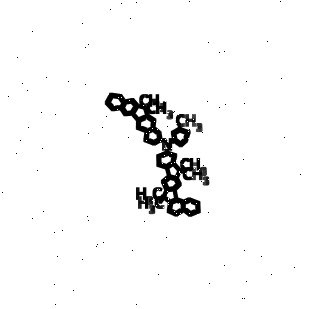 Cc1cccc(N(c2ccc3c(c2)C(C)(C)c2cc4c(cc2-3)C(C)(C)c2ccc3ccccc3c2-4)c2ccc3cc4c(cc3c2)C(C)(C)c2cc3ccccc3cc2-4)c1